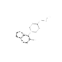 CC(C)(C)[SiH2]OC1CCN(c2c(N)cnc3ccsc23)CC1